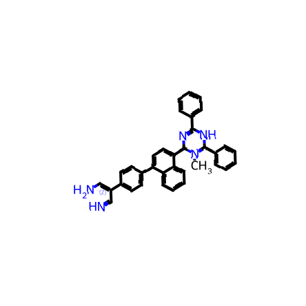 CN1C(c2ccc(-c3ccc(/C(C=N)=C/N)cc3)c3ccccc23)N=C(c2ccccc2)NC1c1ccccc1